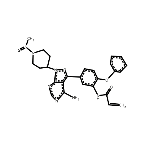 C=CC(=O)Nc1cc(-c2nn(C3CCN(S(C)=S)CC3)c3ncnc(N)c23)ccc1Oc1ccccc1